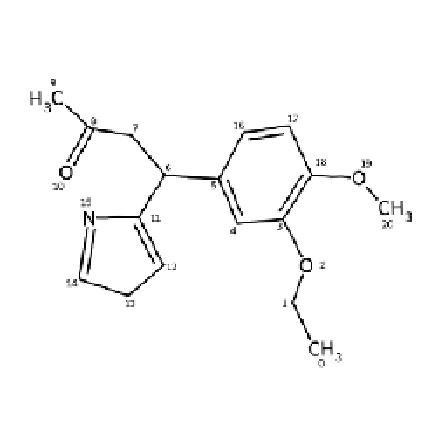 CCOc1cc(C(CC(C)=O)C2=CCC=N2)ccc1OC